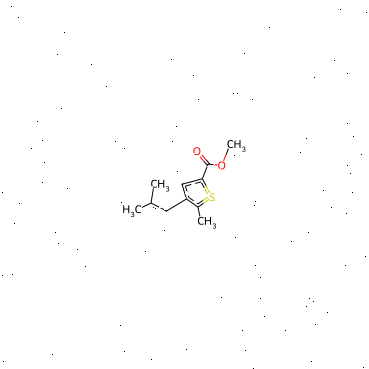 COC(=O)c1cc(CC(C)C)c(C)s1